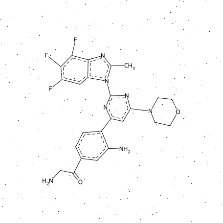 Cc1nc2c(F)c(F)c(F)cc2n1-c1nc(-c2ccc(C(=O)CN)cc2N)cc(N2CCOCC2)n1